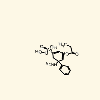 CC(=O)NC1(c2ccccc2)C=CC=C([As](=O)(O)OO)C1.CCC(=O)O